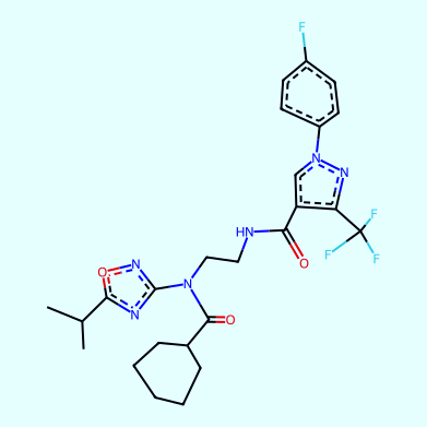 CC(C)c1nc(N(CCNC(=O)c2cn(-c3ccc(F)cc3)nc2C(F)(F)F)C(=O)C2CCCCC2)no1